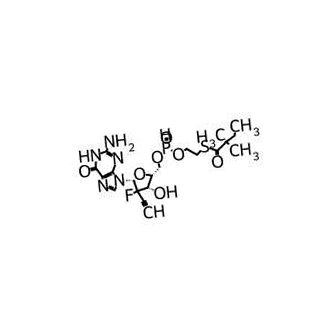 C#CC1(F)[C@@H](O)[C@@H](CO[PH](=O)OCCSC(=O)C(C)(C)CC)O[C@H]1n1cnc2c(=O)[nH]c(N)nc21